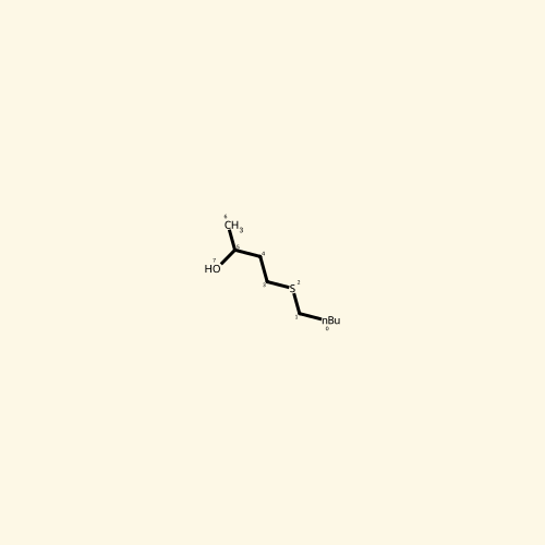 CCCCCSCCC(C)O